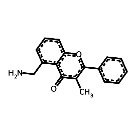 Cc1c(-c2ccccc2)oc2cccc(CN)c2c1=O